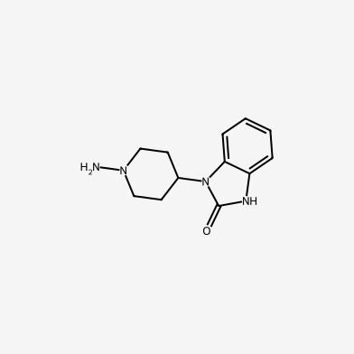 NN1CCC(n2c(=O)[nH]c3ccccc32)CC1